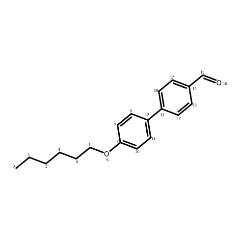 CCCCCCOc1ccc(-c2ccc([C]=O)cc2)cc1